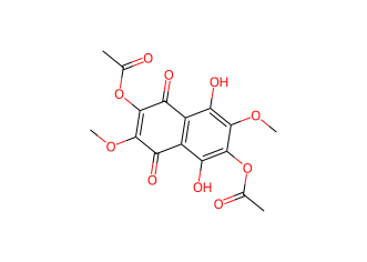 COC1=C(OC(C)=O)C(=O)c2c(O)c(OC)c(OC(C)=O)c(O)c2C1=O